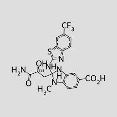 CN1c2ccc(C(=O)O)cc2NC1(C[C@H](O)C(N)=O)Nc1nc2ccc(C(F)(F)F)cc2s1